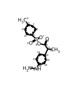 Cc1ccc(S(=O)(=O)OC(=O)C(C)c2ccc(NN)cc2)cc1